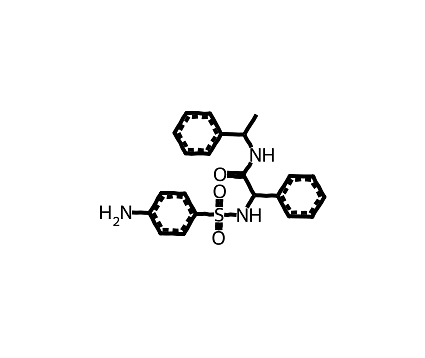 CC(NC(=O)C(NS(=O)(=O)c1ccc(N)cc1)c1ccccc1)c1ccccc1